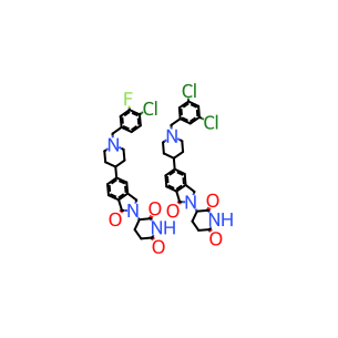 O=C1CCC(N2Cc3cc(C4CCN(Cc5cc(Cl)cc(Cl)c5)CC4)ccc3C2=O)C(=O)N1.O=C1CCC(N2Cc3cc(C4CCN(Cc5ccc(Cl)c(F)c5)CC4)ccc3C2=O)C(=O)N1